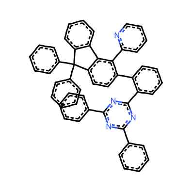 c1ccc(-c2nc(-c3ccccc3)nc(-c3ccccc3-c3ccc4c(c3-c3ccccn3)-c3ccccc3C4(c3ccccc3)c3ccccc3)n2)cc1